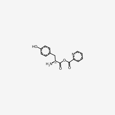 N[C@@H](Cc1ccc(O)cc1)C(=O)OC(=O)c1ccccn1